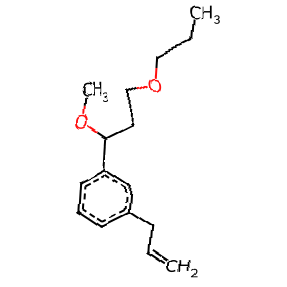 C=CCc1cccc(C(CCOCCC)OC)c1